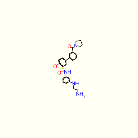 COc1ccc(-c2cccc(C(=O)N3CCCC3)c2)cc1[S+]([O-])Nc1cccc(NCCN)c1